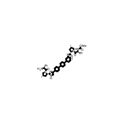 COC(=O)N[C@H](C(=O)N1C[C@@H](C)C[C@H]1c1nc2cc(-c3ccc(-c4ccc(-c5c[nH]c([C@H]6C[C@H](C)CN6C(=O)[C@@H](N)C(C)C)n5)cc4)cc3)ccc2[nH]1)C(C)C